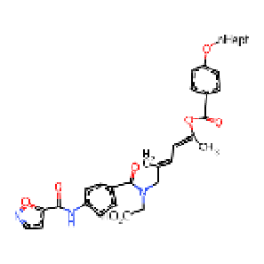 CCCCCCCOc1ccc(C(=O)O/C(C)=C/C=C(\C)CN(CC(=O)O)C(=O)c2ccc(NC(=O)c3ccno3)cc2)cc1